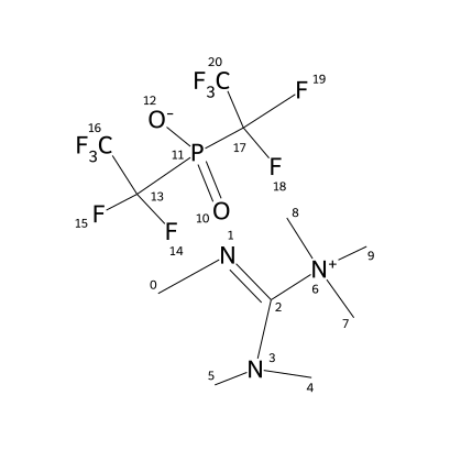 C/N=C(\N(C)C)[N+](C)(C)C.O=P([O-])(C(F)(F)C(F)(F)F)C(F)(F)C(F)(F)F